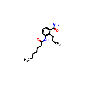 CCCCCCC(=O)Nc1cccc(C(N)=O)c1CCC